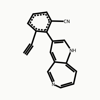 C#Cc1cccc(C#N)c1C1=CNC2=CC=CN=CC2=C1